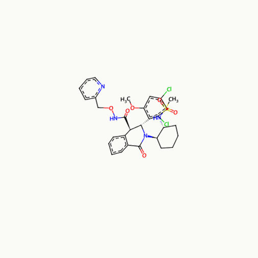 COc1cc(Cl)cc(Cl)c1[C@H]1[C@H](C(=O)NOCc2ccccn2)c2ccccc2C(=O)N1[C@@H]1CCCC[C@H]1NS(C)(=O)=O